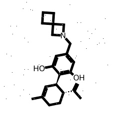 C=C(C)[C@@H]1CCC(C)=C[C@H]1c1c(O)cc(CN2CC3(CCC3)C2)cc1O